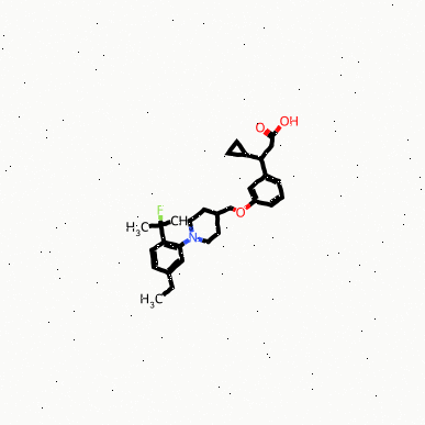 CCc1ccc(C(C)(C)F)c(N2CCC(COc3cccc(C(CC(=O)O)C4CC4)c3)CC2)c1